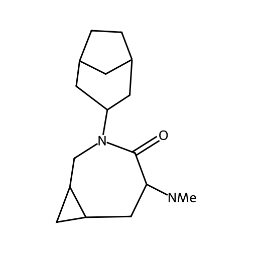 CNC1CC2CC2CN(C2CC3CCC(C3)C2)C1=O